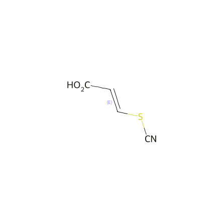 N#CS/C=C/C(=O)O